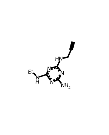 C#CCNc1nc(N)nc(NCC)n1